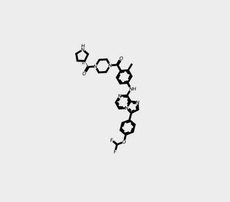 Cc1cc(Nc2nccn3c(-c4ccc(OC(F)F)cc4)cnc23)ccc1C(=O)N1CCN(C(=O)[C@@H]2CCNC2)CC1